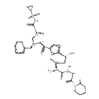 CC(=O)O[C@H](C[C@H](C(C)C)N(C)C(=O)[C@@H](NC(=O)[C@H]1CCCCN1)C(C)(C)C)c1nc(C(=O)N[C@@H](Cc2ccccc2)C[C@H](C)C(=O)NS(=O)(=O)C2CC2)cs1